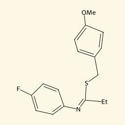 CC/C(=N/c1ccc(F)cc1)SCc1ccc(OC)cc1